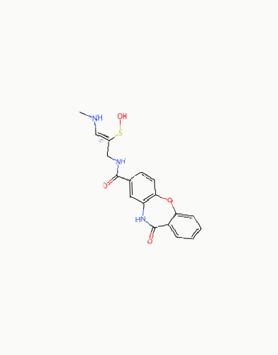 CN/C=C(/CNC(=O)c1ccc2c(c1)NC(=O)c1ccccc1O2)SO